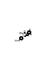 CNc1ccc(OCc2cc3c(F)cc(F)cc3n2C(=O)OC(C)(C)C)cc1